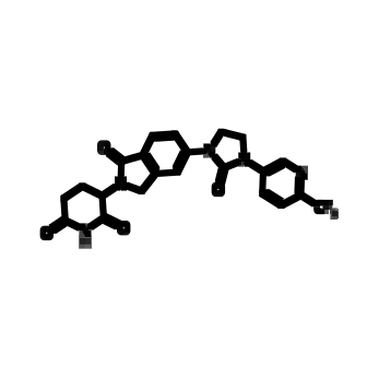 O=C1CCC(N2Cc3cc(N4CCN(c5ccc(C(F)(F)F)nc5)C4=O)ccc3C2=O)C(=O)N1